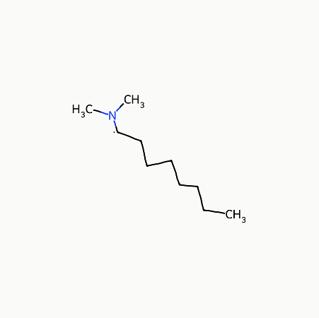 CCCCCCC[CH]N(C)C